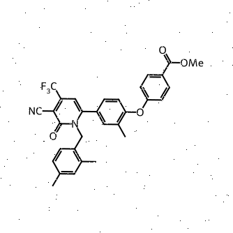 COC(=O)c1ccc(Oc2ccc(-c3cc(C(F)(F)F)c(C#N)c(=O)n3Cc3ccc(C)cc3C)cc2C)cc1